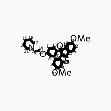 COc1ccc2c(c1)C(O)(c1ccc(OCCN3CCCCC3)cc1)c1c-2sc2cc(OC)ccc12